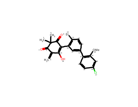 C=C1C(=O)C(C)(C)C(=O)C(c2cc(-c3ccc(Cl)cc3OC)ccc2CC)=C1O